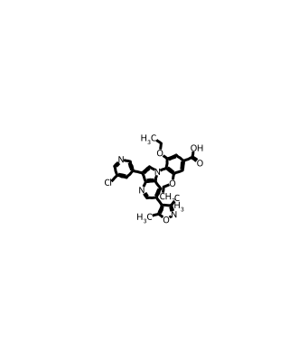 CCOc1cc(C(=O)O)cc(OCC)c1-n1cc(-c2cncc(Cl)c2)c2ncc(-c3c(C)noc3C)cc21